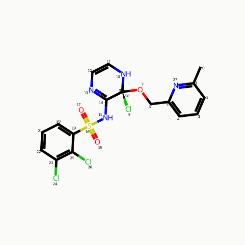 Cc1cccc(CO[C@@]2(Cl)NC=CN=C2NS(=O)(=O)c2cccc(Cl)c2Cl)n1